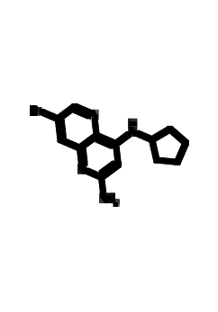 Nc1cc(NC2CCCC2)c2ncc(Br)cc2n1